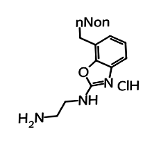 CCCCCCCCCCc1cccc2nc(NCCN)oc12.Cl